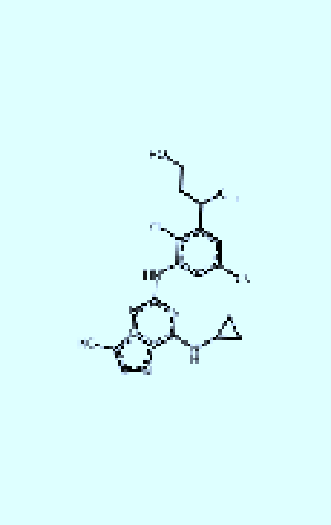 CC(CCO)c1cc(C#N)cc(Nc2nc(NC3CC3)c3ncc(C#N)n3n2)c1Cl